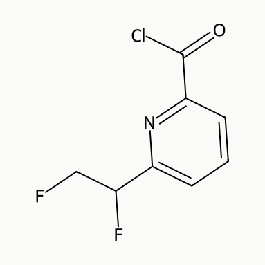 O=C(Cl)c1cccc(C(F)CF)n1